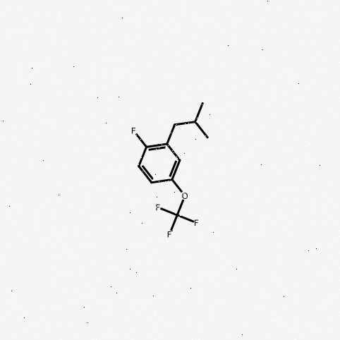 CC(C)Cc1cc(OC(F)(F)F)ccc1F